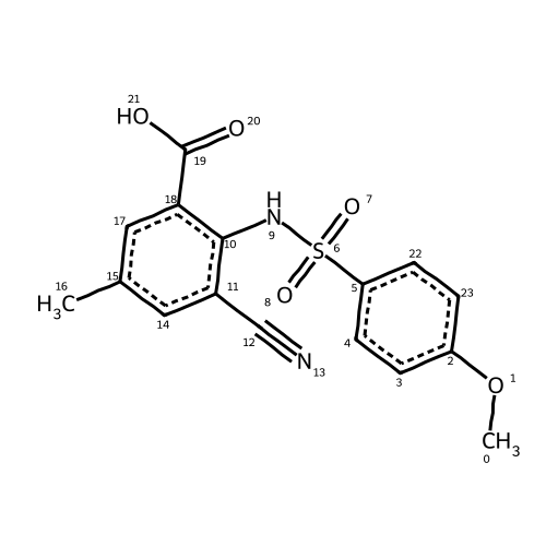 COc1ccc(S(=O)(=O)Nc2c(C#N)cc(C)cc2C(=O)O)cc1